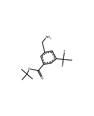 CC(C)(C)OC(=O)c1cc(CN)cc(C(F)(F)F)c1